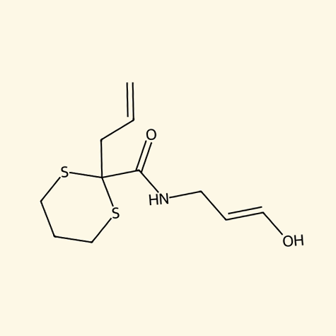 C=CCC1(C(=O)NC/C=C/O)SCCCS1